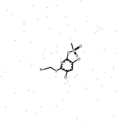 CC(C)CSc1nc(OS(C)(=O)=O)c(Cl)cc1Cl